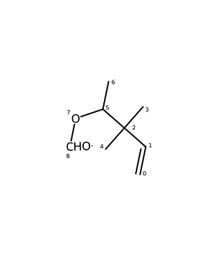 C=CC(C)(C)C(C)O[C]=O